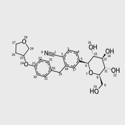 N#Cc1ccc([C@@H]2O[C@H](CO)[C@@H](O)[C@H](O)[C@H]2O)cc1Cc1ccc(OC2CCOC2)cc1